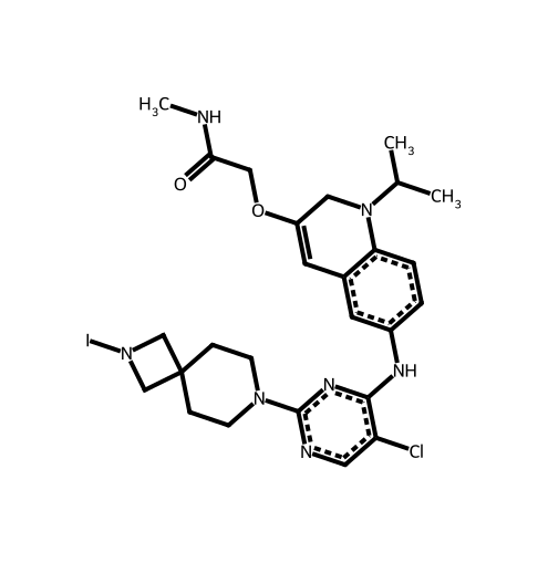 CNC(=O)COC1=Cc2cc(Nc3nc(N4CCC5(CC4)CN(I)C5)ncc3Cl)ccc2N(C(C)C)C1